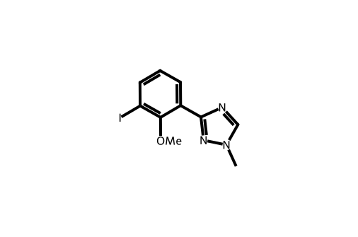 COc1c(I)cccc1-c1ncn(C)n1